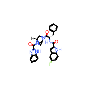 O=C(N[C@@H](Cc1ccccc1)C(=O)N1C[C@@H]2CC1CN2C(=O)c1nc2ccccc2[nH]1)c1cc2cc(F)ccc2[nH]1